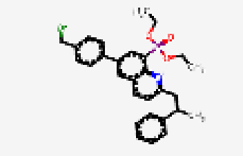 CCOP(=O)(OCC)c1cc(-c2ccc(CBr)cc2)cc2ccc(CC(C)c3ccccc3)nc12